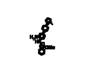 COC(=O)C1(CCNc2ccc(N3CCC(N4CCC[C@@H]4C)CC3)cc2N)CCCCC1